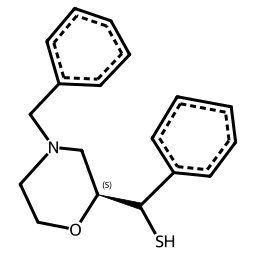 SC(c1ccccc1)[C@@H]1CN(Cc2ccccc2)CCO1